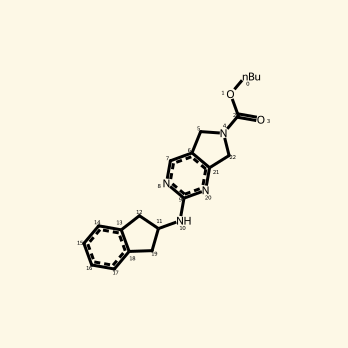 CCCCOC(=O)N1Cc2cnc(NC3Cc4ccccc4C3)nc2C1